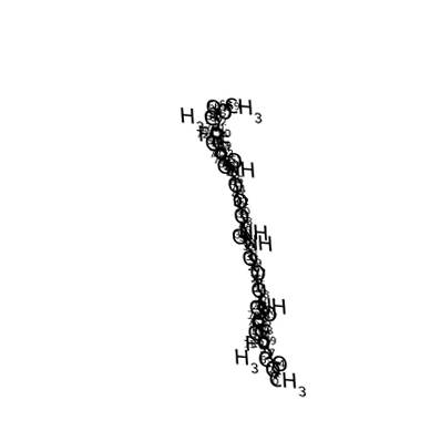 CCOC(=O)/C(C)=C/c1cc(F)c(Oc2ccc(S(=O)(=O)NCCOCCOCCOCCNC(=O)NCCOCCOCCOCCNS(=O)(=O)c3ccc(Oc4c(F)cc(/C=C(\C)C(=O)OCC)cc4F)cc3)cc2)c(F)c1